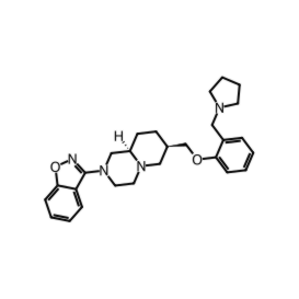 c1ccc(OC[C@@H]2CC[C@@H]3CN(c4noc5ccccc45)CCN3C2)c(CN2CCCC2)c1